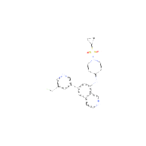 O=S(=O)(C1CC1)N1CCC(Nc2cc(-c3cncc(CF)c3)cc3ccncc23)CC1